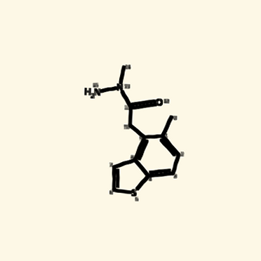 Cc1ccc2sccc2c1CC(=O)N(C)N